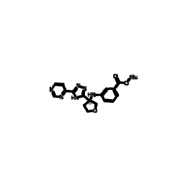 CC(C)(C)OC(=O)c1cccc(N[C@]2(c3nnc(-c4ccncn4)[nH]3)CCOC2)c1